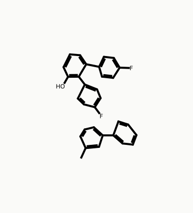 Cc1cccc(-c2ccccc2)c1.Oc1cccc(-c2ccc(F)cc2)c1-c1ccc(F)cc1